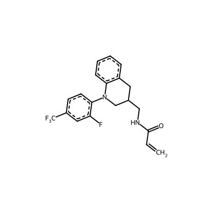 C=CC(=O)NCC1Cc2ccccc2N(c2ccc(C(F)(F)F)cc2F)C1